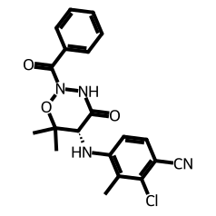 Cc1c(N[C@H]2C(=O)NN(C(=O)c3ccccc3)OC2(C)C)ccc(C#N)c1Cl